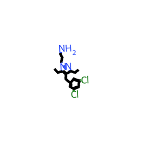 CCc1nn(CCCN)c(CC)c1Cc1cc(Cl)cc(Cl)c1